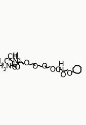 CC(C)C(NC(=O)CCOCCOCCOCCOCCNC(=O)COC1CCCCCCC1)C(N)=O